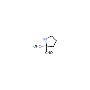 O=CC1(C=O)CCCN1